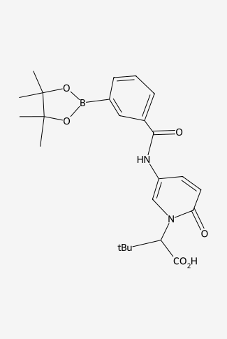 CC(C)(C)C(C(=O)O)n1cc(NC(=O)c2cccc(B3OC(C)(C)C(C)(C)O3)c2)ccc1=O